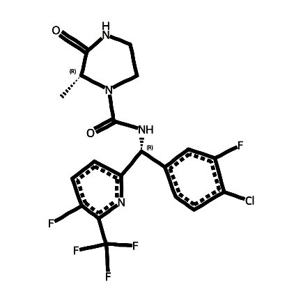 C[C@@H]1C(=O)NCCN1C(=O)N[C@H](c1ccc(Cl)c(F)c1)c1ccc(F)c(C(F)(F)F)n1